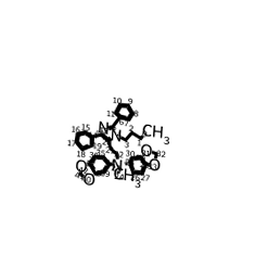 CCCCn1c(-c2ccccc2)nc(-c2ccccc2)c1CC[N+](C)(c1ccc2c(c1)OCO2)c1ccc2c(c1)OCO2